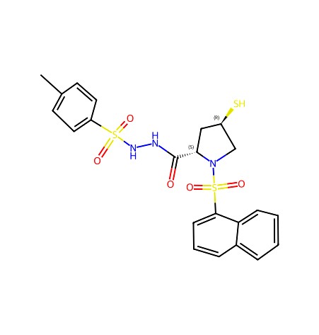 Cc1ccc(S(=O)(=O)NNC(=O)[C@@H]2C[C@@H](S)CN2S(=O)(=O)c2cccc3ccccc23)cc1